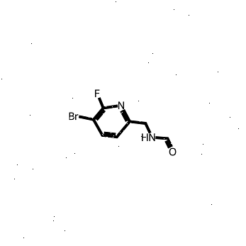 O=CNCc1ccc(Br)c(F)n1